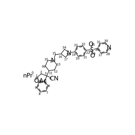 CCC[C@H](CC(C#N)(c1ccccc1)C1CCN(CC2CN(c3ccc(S(=O)(=O)c4ccncc4)cc3)C2)CC1)OC(C)=O